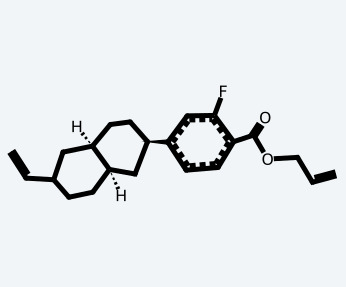 C=CCOC(=O)c1ccc([C@@H]2CC[C@@H]3CC(C=C)CC[C@@H]3C2)cc1F